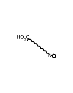 C/C(=C\CCCCCCCCCCCCN=C1CCCC1)C(=O)O